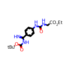 CCOC(=O)CNC(=O)Nc1ccc(C(=N)NC(=O)OC(C)(C)C)cc1